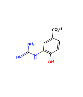 N=C(N)Nc1cc(C(=O)O)ccc1O